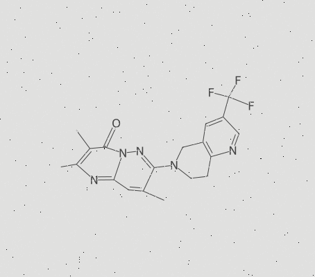 Cc1cc2nc(C)c(C)c(=O)n2nc1N1CCc2ncc(C(F)(F)F)cc2C1